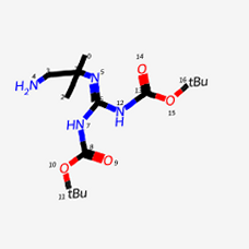 CC(C)(CN)N=C(NC(=O)OC(C)(C)C)NC(=O)OC(C)(C)C